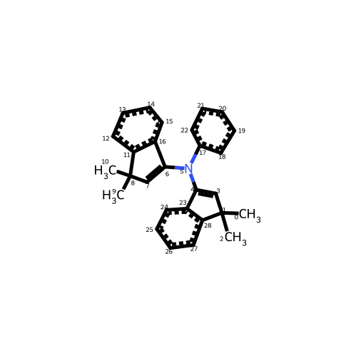 CC1(C)C=C(N(C2=CC(C)(C)c3ccccc32)c2ccccc2)c2ccccc21